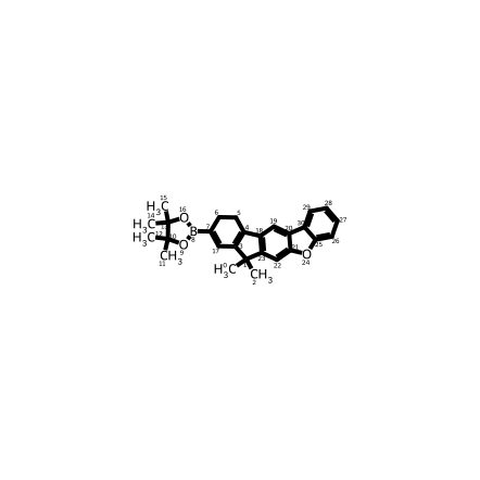 CC1(C)C2=C(CCC(B3OC(C)(C)C(C)(C)O3)=C2)c2cc3c(cc21)oc1ccccc13